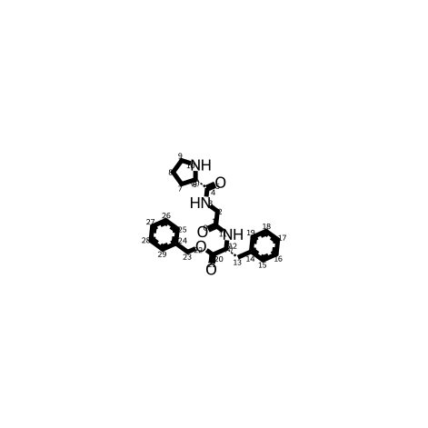 O=C(CNC(=O)[C@@H]1CCCN1)N[C@H](Cc1ccccc1)C(=O)OCc1ccccc1